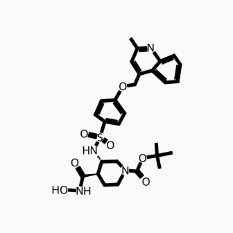 Cc1cc(COc2ccc(S(=O)(=O)N[C@@H]3CN(C(=O)OC(C)(C)C)CC[C@H]3C(=O)NO)cc2)c2ccccc2n1